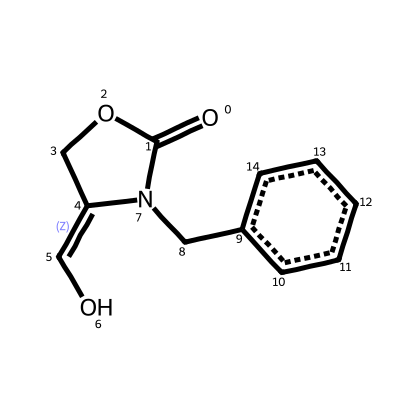 O=C1OC/C(=C/O)N1Cc1ccccc1